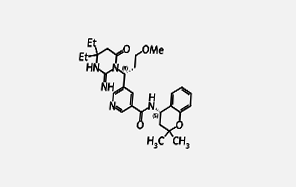 CCC1(CC)CC(=O)N([C@H](CCOC)c2cncc(C(=O)N[C@H]3CC(C)(C)Oc4ccccc43)c2)C(=N)N1